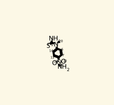 CN(C(N)=S)c1ccc(S(N)(=O)=O)cc1